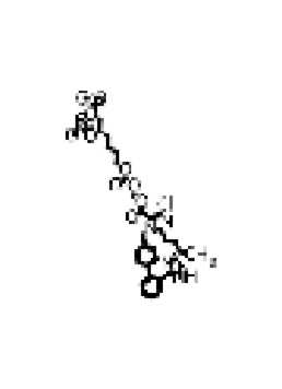 CCCCc1nc(Cl)c(C(=O)OCOC(=O)OCCCC[C@H](CO[N+](=O)[O-])O[N+](=O)[O-])n1Cc1ccc(-c2ccccc2-c2nnn[nH]2)cc1